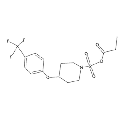 CCC(=O)OS(=O)(=O)N1CCC(Oc2ccc(C(F)(F)F)cc2)CC1